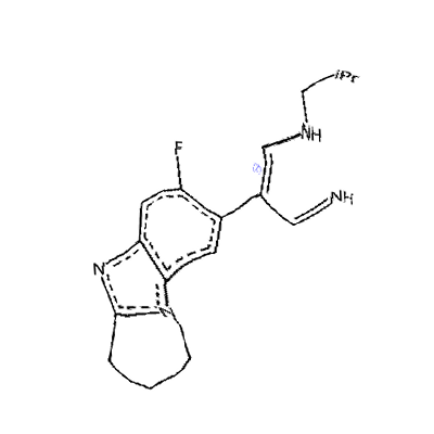 CC(C)CN/C=C(\C=N)c1cc2c(cc1F)nc1n2CCC1